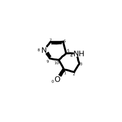 O=C1CCNC2C=CN=CC12